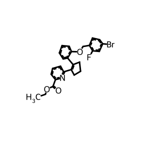 CCOC(=O)c1cccc(C2=C(c3ccccc3OCc3ccc(Br)cc3F)CCC2)n1